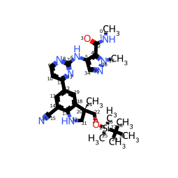 CNC(=O)c1c(Nc2nccc(-c3cc(C#N)c4c(c3)[C@@](C)(CO[Si](C)(C)C(C)(C)C)CN4)n2)cnn1C